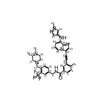 Cc1ccc(C(=O)NCc2ccc(CN3CCN(C)[C@H](C)C3)c(C(F)(F)F)c2)cc1C#Cc1cnc2c(Nc3cnn(C)c3)cccn12